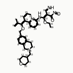 C=C(C)/C(OCc1ccc2c(c1)CCN(CC1CCOCC1)C2)=C(\C=C/C)c1cccc(N/C(OCC)=C(\C=N)C(=O)N=O)n1